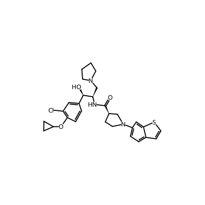 O=C(N[C@H](CN1CCCC1)[C@H](O)c1ccc(OC2CC2)c(Cl)c1)[C@@H]1CCN(c2ccc3ccsc3c2)C1